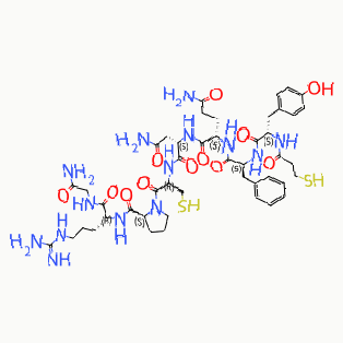 N=C(N)NCCC[C@@H](NC(=O)[C@@H]1CCCN1C(=O)[C@H](CS)NC(=O)[C@H](CC(N)=O)NC(=O)[C@H](CCC(N)=O)NC(=O)[C@H](Cc1ccccc1)NC(=O)[C@H](Cc1ccc(O)cc1)NC(=O)CCS)C(=O)NCC(N)=O